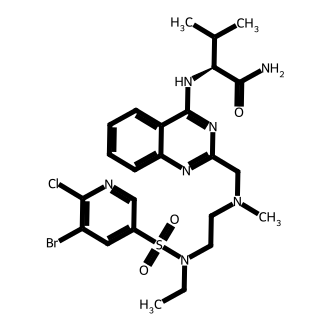 CCN(CCN(C)Cc1nc(N[C@H](C(N)=O)C(C)C)c2ccccc2n1)S(=O)(=O)c1cnc(Cl)c(Br)c1